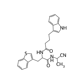 CC(C#N)NC(=O)C(Cc1csc2ccccc12)NC(=O)CCCc1c[nH]c2ccccc12